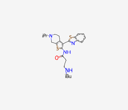 CC[C@H](C)NCCC(=O)Nc1sc2c(c1-c1nc3ccccc3s1)CCN(C(C)C)C2